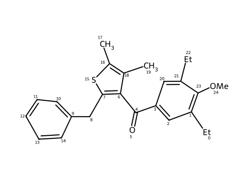 CCc1cc(C(=O)c2c(Cc3ccccc3)sc(C)c2C)cc(CC)c1OC